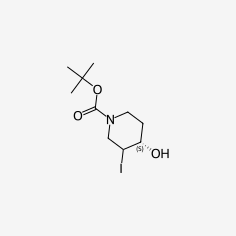 CC(C)(C)OC(=O)N1CC[C@H](O)C(I)C1